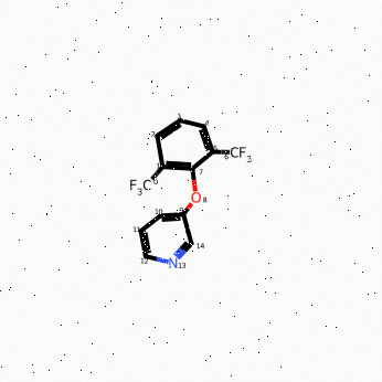 FC(F)(F)c1cccc(C(F)(F)F)c1Oc1c[c]cnc1